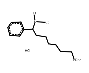 CCCCCCCCCCCCCCCCC(c1ccccc1)N(CC)CC.Cl